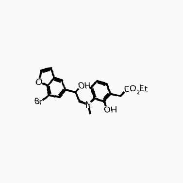 CCOC(=O)Cc1cccc(N(C)C[C@H](O)c2cc(Br)c3occc3c2)c1O